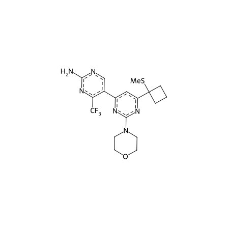 CSC1(c2cc(-c3cnc(N)nc3C(F)(F)F)nc(N3CCOCC3)n2)CCC1